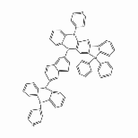 c1ccc([Si]2(c3ccccc3)c3ccccc3-c3cc4c(cc32)N(c2ccc3cc(N5c6ccccc6N(c6ccncc6)c6ccccc65)ccc3c2)c2ccccc2N4c2ccncc2)cc1